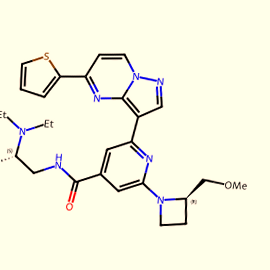 CCN(CC)[C@@H](C)CNC(=O)c1cc(-c2cnn3ccc(-c4cccs4)nc23)nc(N2CC[C@@H]2COC)c1